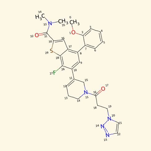 COc1ccccc1-c1cc(C2=CCCN(C(=O)CCn3ccnn3)C2)c(F)c2sc(C(=O)N(C)C)cc12